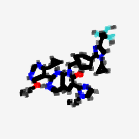 COc1ncnc(C2CC2)c1-c1ncc2cc(-c3nccn3C)c(=O)n(Cc3ccc(-c4nc(C(F)(F)F)cn4C4CC4)cc3)c2n1